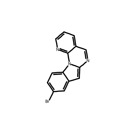 Brc1ccc2c(c1)cc1ncc3cccnc3n12